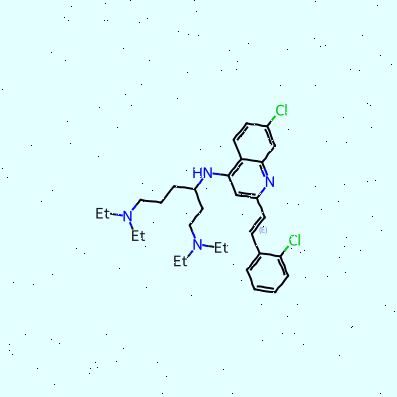 CCN(CC)CCCC(CCN(CC)CC)Nc1cc(/C=C/c2ccccc2Cl)nc2cc(Cl)ccc12